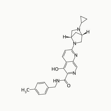 Cc1ccc(CNC(=O)c2ncc3nc(N4C[C@@H]5C[C@H]4CN5C4CC4)ccc3c2O)cc1